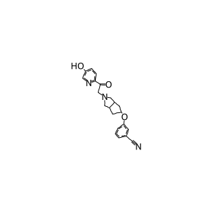 N#Cc1cccc(OC2CC3CN(CC(=O)c4ccc(O)cn4)CC3C2)c1